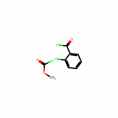 COC(=O)Cl.O=C(Cl)c1ccccc1Cl